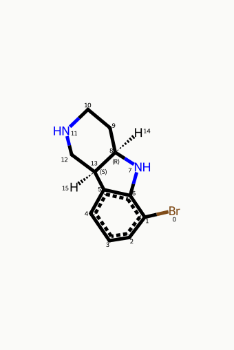 Brc1cccc2c1N[C@@H]1CCNC[C@H]21